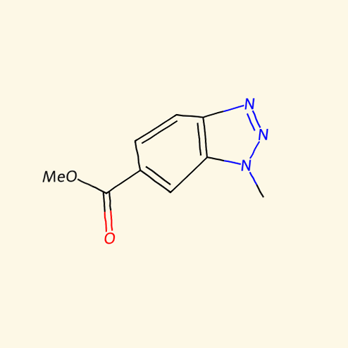 COC(=O)c1ccc2nnn(C)c2c1